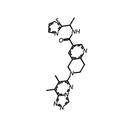 Cc1c(N2CCc3ncc(C(=O)NC(C)c4nccs4)cc3C2)nn2cnnc2c1C